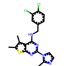 Cc1sc2nc(-n3ccnc3C)nc(NCc3ccc(Cl)c(Cl)c3)c2c1C